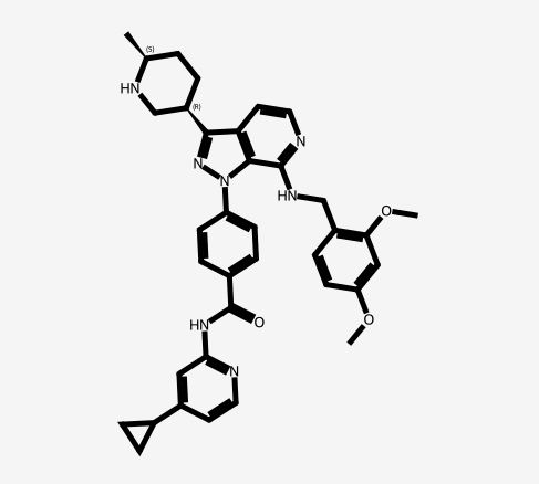 COc1ccc(CNc2nccc3c([C@@H]4CC[C@H](C)NC4)nn(-c4ccc(C(=O)Nc5cc(C6CC6)ccn5)cc4)c23)c(OC)c1